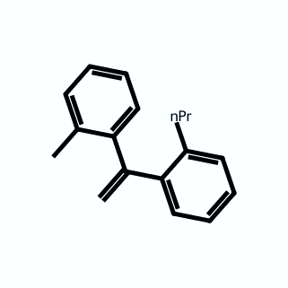 C=C(c1ccccc1C)c1ccccc1CCC